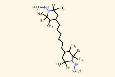 CCC1(C)CC(CCCCCCC2CC(C)(CC)N(NC(=O)O)C(C)(CC)C2C)C(C)C(C)(CC)N1NC(=O)O